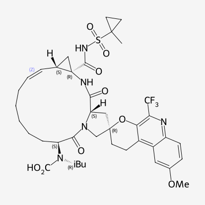 CC[C@@H](C)N(C(=O)O)[C@H]1CCCCC/C=C\[C@@H]2C[C@@]2(C(=O)NS(=O)(=O)C2(C)CC2)NC(=O)[C@@H]2C[C@]3(CCc4c(c(C(F)(F)F)nc5ccc(OC)cc45)O3)CN2C1=O